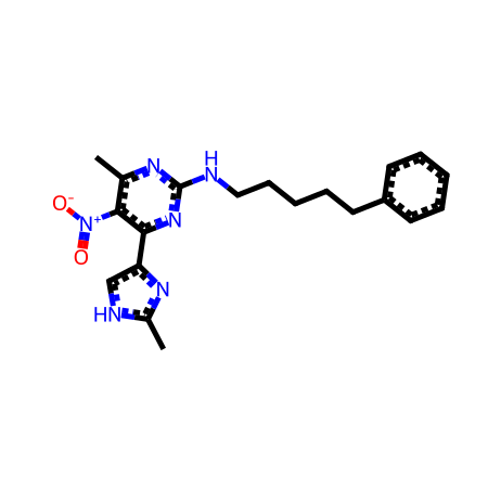 Cc1nc(-c2nc(NCCCCCc3ccccc3)nc(C)c2[N+](=O)[O-])c[nH]1